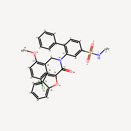 CCCNS(=O)(=O)c1ccc(-c2ccccc2)c(N(Cc2cc(Cl)ccc2OCCC)C(=O)c2cc3ccccc3o2)c1